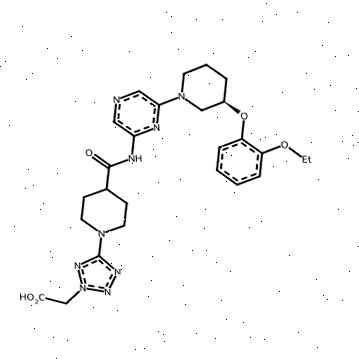 CCOc1ccccc1O[C@@H]1CCCN(c2cncc(NC(=O)C3CCN(c4nnn(CC(=O)O)n4)CC3)n2)C1